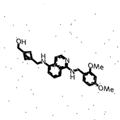 COc1ccc(CNc2nccc3c(NCC45CC(CO)(C4)C5)cccc23)c(OC)c1